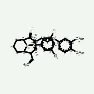 C=CC1CN(CCOc2ccc(OC)c(OC)c2)C(=O)C2CCCC1N2S(=O)(=O)c1cc(Cl)cc(Cl)c1